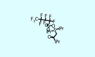 CC(C)C(=O)CS(OS(=O)(=O)C(F)(F)C(F)(F)C(F)(F)C(F)(F)F)(C(C)C)C(C)C